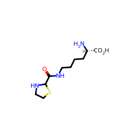 N[C@@H](CCCCNC(=O)C1NCCS1)C(=O)O